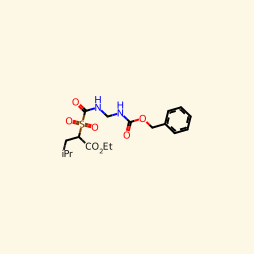 CCOC(=O)C(CC(C)C)S(=O)(=O)C(=O)NCNC(=O)OCc1ccccc1